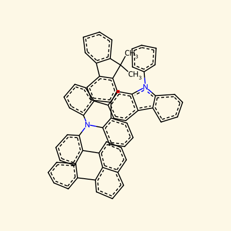 CC1(C)c2ccccc2-c2ccc(-c3ccccc3N(c3ccccc3-c3ccc4c5ccccc5n(-c5ccccc5)c4c3)c3ccccc3-c3cccc4cccc(-c5ccccc5)c34)cc21